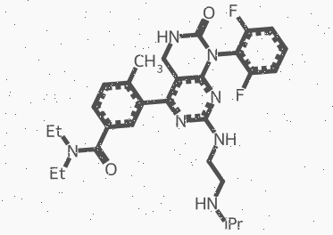 CCN(CC)C(=O)c1ccc(C)c(-c2nc(NCCNC(C)C)nc3c2CNC(=O)N3c2c(F)cccc2F)c1